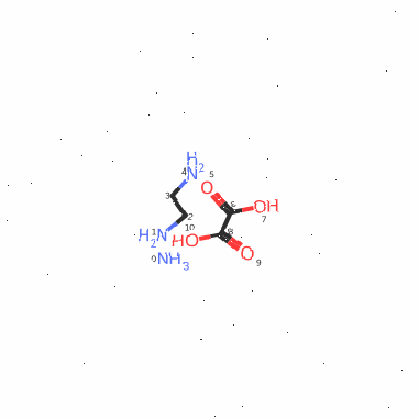 N.NCCN.O=C(O)C(=O)O